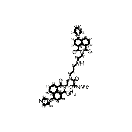 CNC(C)C(=O)N(CCCNCCN1C(=O)c2cccc3c(-n4ccnc4)ccc(c23)C1=O)CCN1C(=O)c2cccc3c(-n4ccnc4)ccc(c23)C1=O